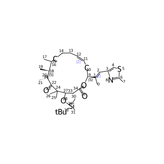 C/C(=C\c1csc(C)n1)[C@@H]1C/C=C\CCCC(C)[C@H](C)[C@@H](C)C(=O)C(C)(C)C(O[Si](C)(C)C(C)(C)C)CC(=O)O1